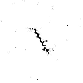 C=C(C)C(=O)OCC(O)CCCCCCC